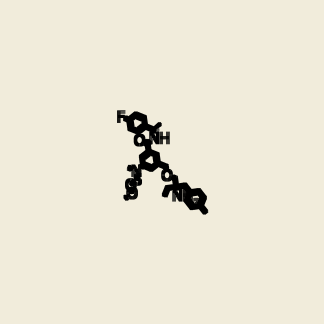 CCC(N)(COCc1cc(C(=O)N[C@H](C)c2ccc(F)cc2)cc(N(C)SOOC)c1)Cc1ccc(C)cc1